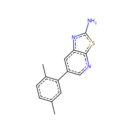 Cc1ccc(C)c(-c2cnc3sc(N)nc3c2)c1